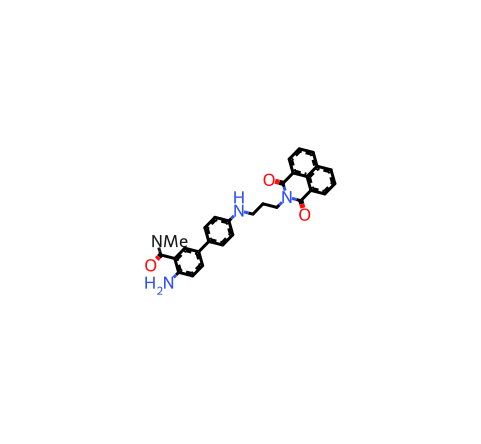 CNC(=O)c1cc(-c2ccc(NCCCN3C(=O)c4cccc5cccc(c45)C3=O)cc2)ccc1N